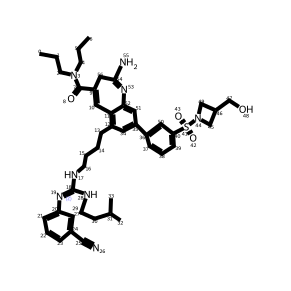 CCCN(CCC)C(=O)C1=Cc2c(CCCCN/C(=N/c3cccc(C#N)c3)NCCC(C)C)cc(-c3cccc(S(=O)(=O)N4CC(CO)C4)c3)cc2N=C(N)C1